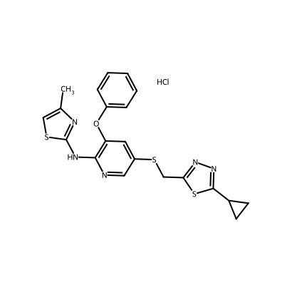 Cc1csc(Nc2ncc(SCc3nnc(C4CC4)s3)cc2Oc2ccccc2)n1.Cl